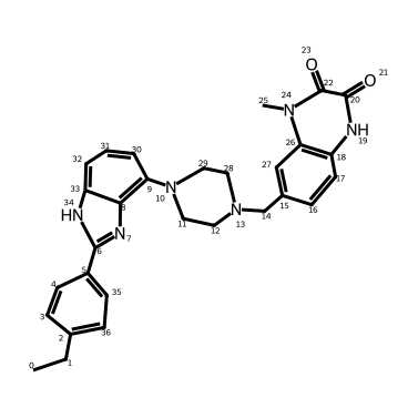 CCc1ccc(-c2nc3c(N4CCN(Cc5ccc6[nH]c(=O)c(=O)n(C)c6c5)CC4)cccc3[nH]2)cc1